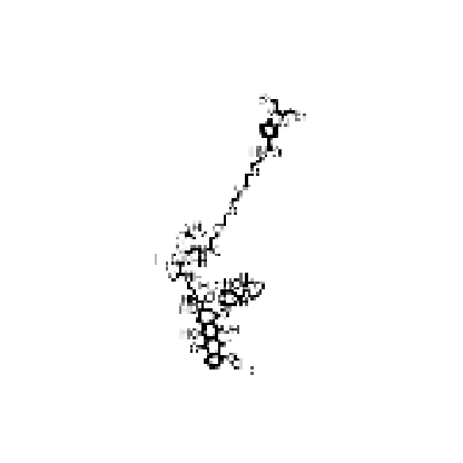 COc1cccc2c1C(=O)c1c(O)c3c(c(O)c1C2=O)C[C@@](O)(C(=O)NCCNC(=O)[C@H](C)NC(=O)[C@H](CC(N)=O)NC(=O)CCOCCOCCOCCOCCNC(=O)c1ccc2nc(CBr)c(CBr)nc2c1)C[C@@H]3O[C@H]1C[C@H]2[C@H](O[C@@H]3COCCN32)[C@H](C)O1